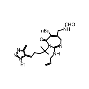 C=CCNC1=NCC(CNC=O)=C(CCCC)C(=O)N1C(C)(C)CC/C=c1\c(=C)nnn1CC